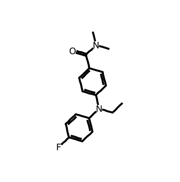 CCN(c1ccc(F)cc1)c1ccc(C(=O)N(C)C)cc1